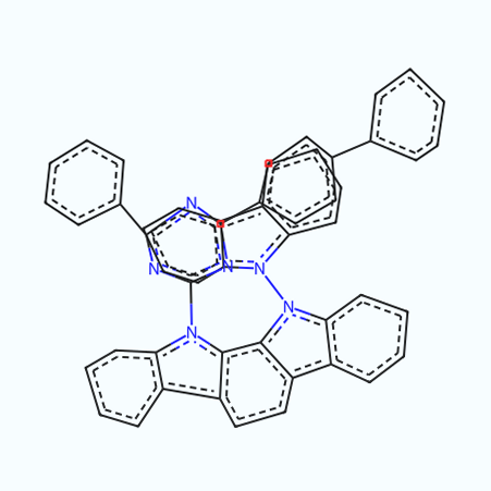 c1ccc(-c2ccc(-c3nc(-c4ccccc4)nc(-n4c5ccccc5c5ccc6c7ccccc7n(-n7c8ccccc8c8ccccc87)c6c54)n3)cc2)cc1